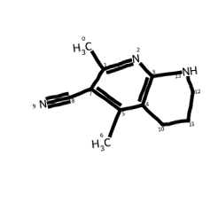 Cc1nc2c(c(C)c1C#N)CCCN2